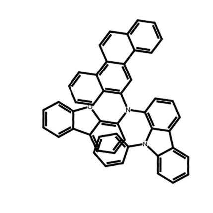 c1ccc(-n2c3ccccc3c3cccc(N(c4cc5c6ccccc6ccc5c5ccccc45)c4cccc5c4oc4ccccc45)c32)cc1